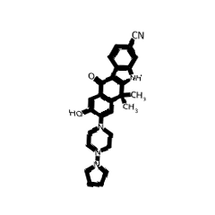 CC1(C)c2cc(N3CCN(N4CCCC4)CC3)c(O)cc2C(=O)c2c1[nH]c1cc(C#N)ccc21